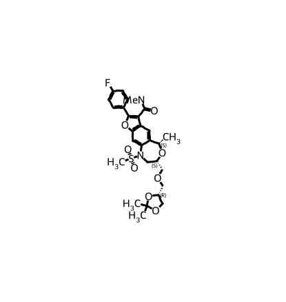 CNC(=O)c1c(-c2ccc(F)cc2)oc2cc3c(cc12)[C@H](C)O[C@H](COC[C@@H]1COC(C)(C)O1)CN3S(C)(=O)=O